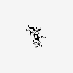 CO[C@]12C(OP(=O)(O)O)[C@H]1O[C@@H](n1ccc(=O)[nH]c1=O)[C@@H]2OP(C)(=O)O